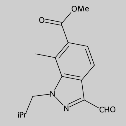 COC(=O)c1ccc2c(C=O)nn(CC(C)C)c2c1C